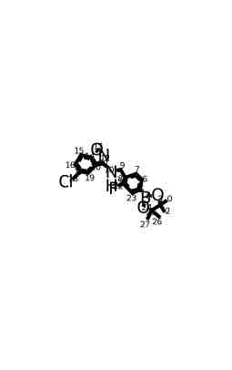 CC1(C)OB(c2ccc(CNc3noc4ccc(Cl)cc34)c(F)c2)OC1(C)C